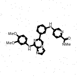 CNC(=O)c1ccc(Nc2cccc(-c3cn4ccnc4c(Nc4ccc(OC)c(OC)c4)n3)c2)cn1